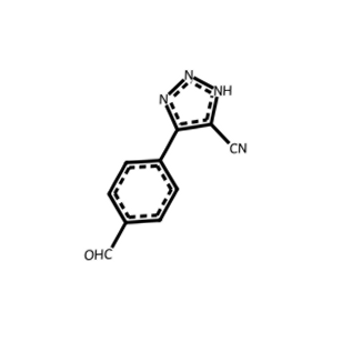 N#Cc1[nH]nnc1-c1ccc(C=O)cc1